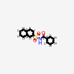 O=C(NS(=O)(=O)c1ccc2ccccc2c1)c1ccccc1